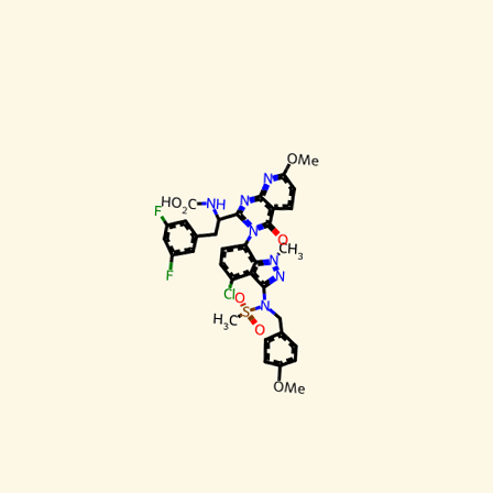 COc1ccc(CN(c2nn(C)c3c(-n4c(C(Cc5cc(F)cc(F)c5)NC(=O)O)nc5nc(OC)ccc5c4=O)ccc(Cl)c23)S(C)(=O)=O)cc1